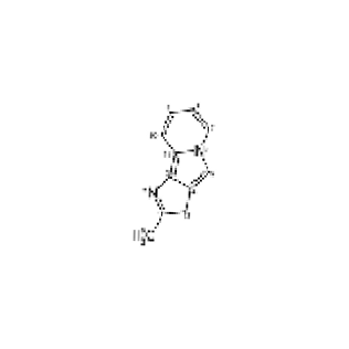 CC1=Nc2c(cn3ccccc23)C1